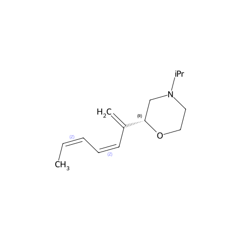 C=C(/C=C\C=C/C)[C@@H]1CN(C(C)C)CCO1